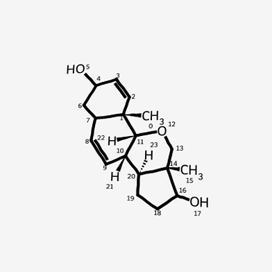 C[C@]12C=CC(O)CC1C=C[C@@H]1[C@H]2OC[C@]2(C)C(O)CC[C@@H]12